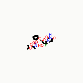 CC(C)OC(=O)C(C)/N=[P+](\[O-])Oc1ccccc1OC[C@H]1O[C@@H](n2ccc(=O)[nH]c2=O)[C@](C)(F)[C@@H]1O